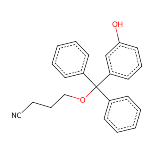 N#CCCCOC(c1ccccc1)(c1ccccc1)c1cccc(O)c1